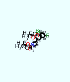 CC(C)(C)OC(=O)[C@@H](Cc1cc(F)cc(Br)c1)[C@H]1CCN(C(=O)OC(C)(C)C)C1